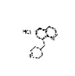 Cl.c1cnc2c(CC3CCNCC3)cccc2c1